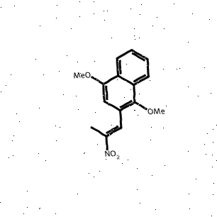 COc1cc(C=C(C)[N+](=O)[O-])c(OC)c2ccccc12